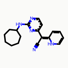 N#C/C(=C1/C=CC=CN1)c1ccnc(NC2CCCCCC2)n1